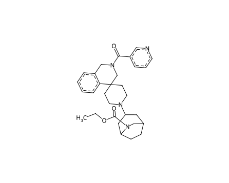 CCOC(=O)N1CC2CCC1CC(N1CCC3(CC1)CN(C(=O)c1cccnc1)Cc1ccccc13)C2